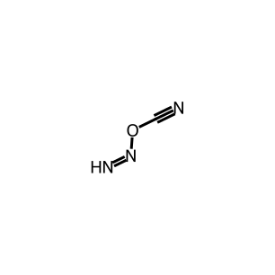 N#CON=N